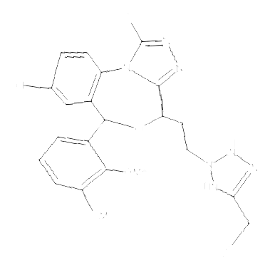 COc1cccc(C2OC(CCN3NN=C(CC(=O)O)N3)c3nnc(C)n3-c3ccc(Cl)cc32)c1OC